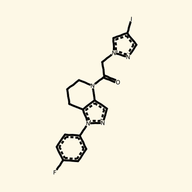 O=C(Cn1cc(I)cn1)N1CCCc2c1cnn2-c1ccc(F)cc1